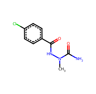 CN(NC(=O)c1ccc(Cl)cc1)C(N)=O